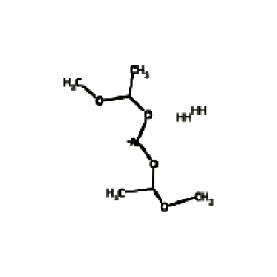 COC(C)[O][Al][O]C(C)OC.[HH].[HH]